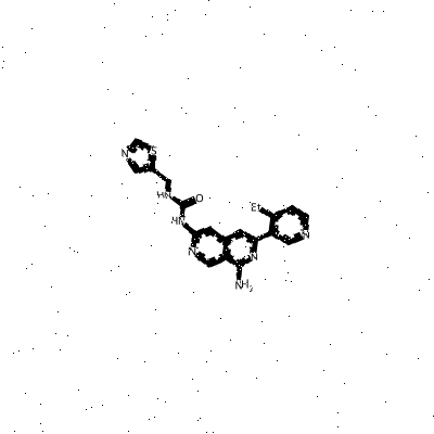 CCc1ccncc1-c1cc2cc(NC(=O)NCc3cncs3)ncc2c(N)n1